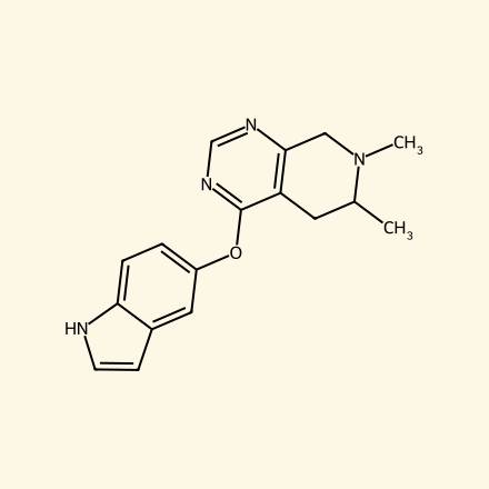 CC1Cc2c(ncnc2Oc2ccc3[nH]ccc3c2)CN1C